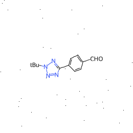 CC(C)(C)n1nnc(-c2ccc(C=O)cc2)n1